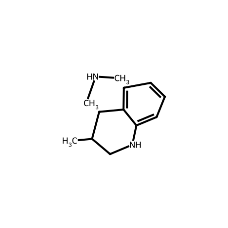 CC1CNc2ccccc2C1.CNC